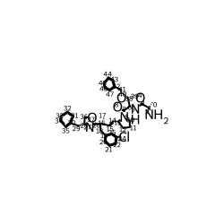 C[C@H](N)C(=O)N[C@H](C(=O)N1CCC[C@H]1/C=C/[C@@](C)(Cc1cccc(Cl)c1)C1=N[C@@H](Cc2ccccc2)CO1)[C@@H](C)OCc1ccccc1